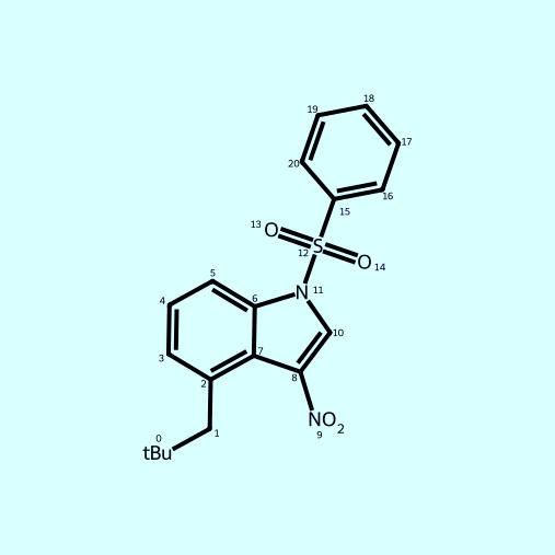 CC(C)(C)Cc1cccc2c1c([N+](=O)[O-])cn2S(=O)(=O)c1ccccc1